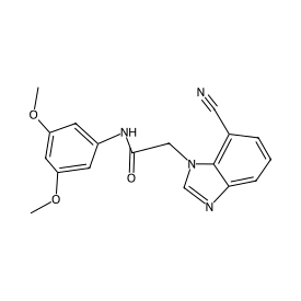 COc1cc(NC(=O)Cn2cnc3cccc(C#N)c32)cc(OC)c1